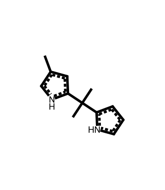 Cc1c[nH]c(C(C)(C)c2ccc[nH]2)c1